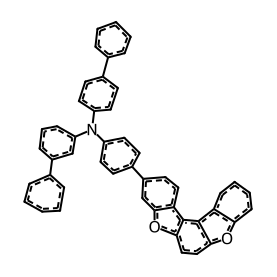 c1ccc(-c2ccc(N(c3ccc(-c4ccc5c(c4)oc4ccc6oc7ccccc7c6c45)cc3)c3cccc(-c4ccccc4)c3)cc2)cc1